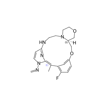 C=NN1C=CC2=N/C1=C(/C)c1cc(ccc1F)OC[C@@H]1COCCN1CCN2